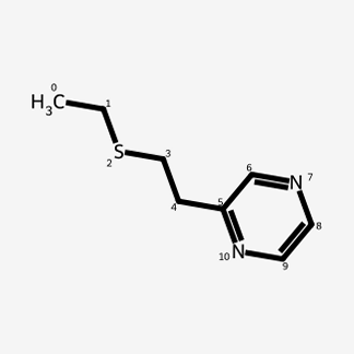 CCSCCc1cnccn1